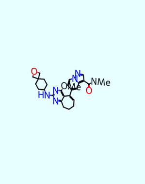 CNC(=O)c1cnn2ccc(C3=CCCCc4nc(NC5CCC6(CC5)COC6)nc(OC)c43)cc12